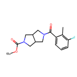 Cc1c(F)cccc1C(=O)N1CC2CN(C(=O)OC(C)(C)C)CC2C1